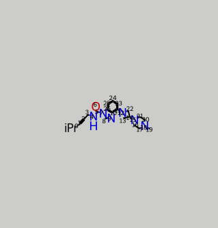 CC(C)C#CCNC(=O)n1cnc2c(N3CC(N4CCN(C)CC4)C3)cccc21